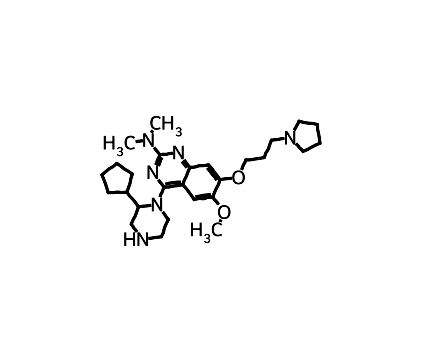 COc1cc2c(N3CCNCC3C3CCCC3)nc(N(C)C)nc2cc1OCCCN1CCCC1